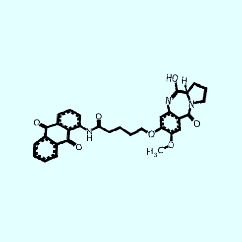 COc1cc2c(cc1OCCCCC(=O)Nc1cccc3c1C(=O)c1ccccc1C3=O)N=C(O)[C@@H]1CCCN1C2=O